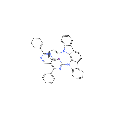 C1=CCCC(c2ncc3c(-c4ccccc4)nc(-n4c5ccccc5c5ccc6c7ccccc7n(C7=CC=CCC7)c6c54)nc3n2)=C1